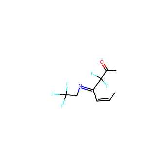 C/C=C\C(=N/CC(F)(F)F)C(F)(F)C(C)=O